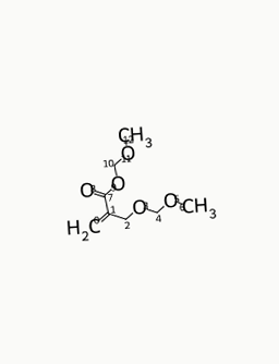 C=C(COCOC)C(=O)OCOC